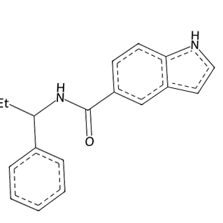 CCC(NC(=O)c1ccc2[nH]ccc2c1)c1ccccc1